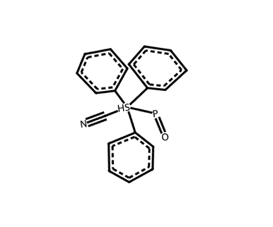 N#C[SH](P=O)(c1ccccc1)(c1ccccc1)c1ccccc1